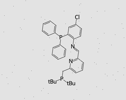 CC(C)(C)P(Cc1cccc(C=Nc2ccc(Cl)cc2P(c2ccccc2)c2ccccc2)n1)C(C)(C)C